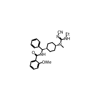 CCNC(=NC#N)N(C)[C@H]1CC[C@@H](C(NC(=O)c2ccccc2OC)c2ccccc2)CC1